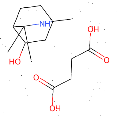 CC12CCC(C(O)C1)C(C)(C)N2.O=C(O)CCC(=O)O